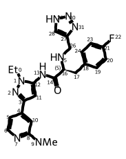 CCn1nc(-c2ccnc(NC)c2)cc1NC(=O)[C@H](Cc1ccc(F)cc1)NCc1c[nH]nn1